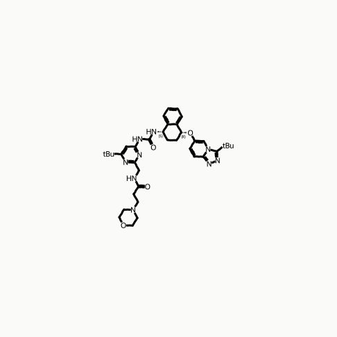 CC(C)(C)c1cc(NC(=O)N[C@H]2CC[C@@H](Oc3ccc4nnc(C(C)(C)C)n4c3)c3ccccc32)nc(CNC(=O)CCN2CCOCC2)n1